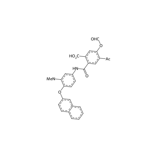 CNc1cc(NC(=O)c2cc(C(C)=O)c(OC=O)cc2C(=O)O)ccc1Oc1ccc2ccccc2c1